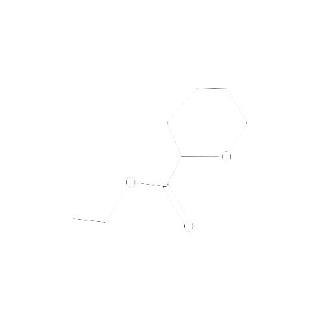 CCOC(=O)[C]1CCCCO1